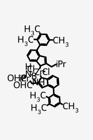 Cc1cc(C)c(C)c(-c2cccc3c2C=C(CC(C)C)[CH]3[Zr]([Cl])([Cl])([B](NC=O)NC=O)[CH]2C(CC(C)C)=Cc3c(-c4cc(C)cc(C)c4C)cccc32)c1